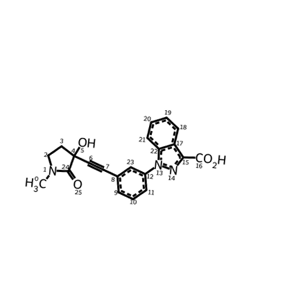 CN1CCC(O)(C#Cc2cccc(-n3nc(C(=O)O)c4ccccc43)c2)C1=O